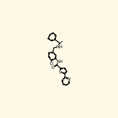 C[C@@H](NCc1ccc(Cl)c(NC(=O)c2ccc(-c3ccccn3)s2)c1)c1ccccc1